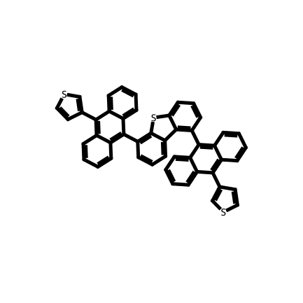 c1cc(-c2c3ccccc3c(-c3ccsc3)c3ccccc23)c2c(c1)sc1c(-c3c4ccccc4c(-c4ccsc4)c4ccccc34)cccc12